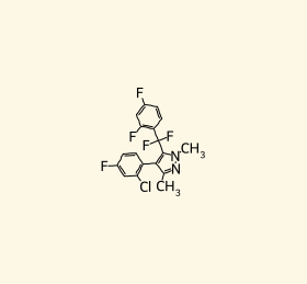 Cc1nn(C)c(C(F)(F)c2ccc(F)cc2F)c1-c1ccc(F)cc1Cl